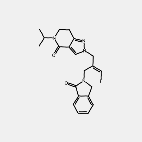 CC(C)N1CCc2nn(C/C(=C/F)CN3Cc4ccccc4C3=O)cc2C1=O